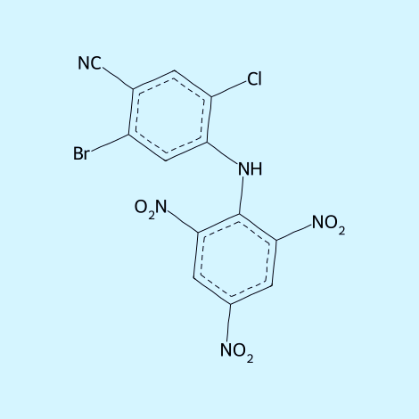 N#Cc1cc(Cl)c(Nc2c([N+](=O)[O-])cc([N+](=O)[O-])cc2[N+](=O)[O-])cc1Br